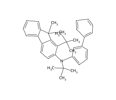 CC(C)(C)c1c(N(c2cccc(-c3ccccc3)c2)C(C)(C)C)ccc2c1C(C)(C)c1ccccc1-2